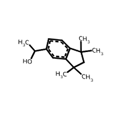 CC(O)c1ccc2c(c1)C(C)(C)CC2(C)C